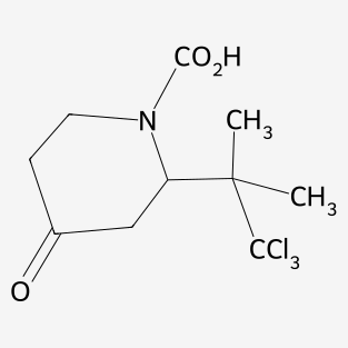 CC(C)(C1CC(=O)CCN1C(=O)O)C(Cl)(Cl)Cl